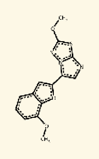 COc1nn2c(-c3cc4cccc(OC)c4o3)cnc2s1